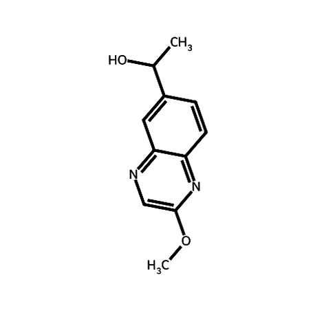 COc1cnc2cc(C(C)O)ccc2n1